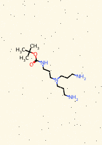 CC(C)(C)OC(=O)NCCCN(CCCN)CCCN